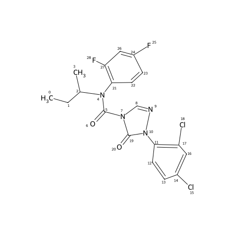 CCC(C)N(C(=O)n1cnn(-c2ccc(Cl)cc2Cl)c1=O)c1ccc(F)cc1F